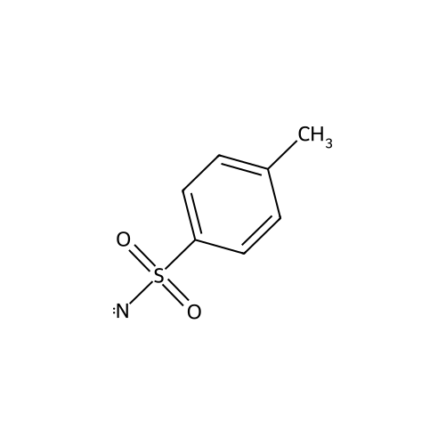 Cc1ccc(S([N])(=O)=O)cc1